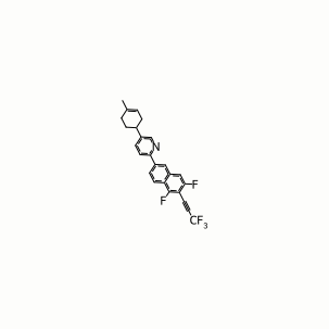 CC1=CCC(c2ccc(-c3ccc4c(F)c(C#CC(F)(F)F)c(F)cc4c3)nc2)CC1